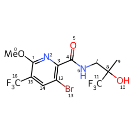 COc1nc(C(=O)NCC(C)(O)C(F)(F)F)c(Br)cc1C(F)(F)F